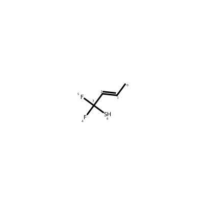 C/C=C/C(F)(F)S